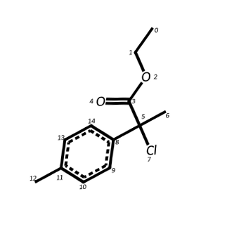 CCOC(=O)C(C)(Cl)c1ccc(C)cc1